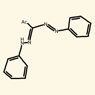 CC(=O)C(N=Nc1ccccc1)=NNc1ccccc1